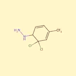 NNC1C=CC(C(F)(F)F)=CC1(Cl)Cl